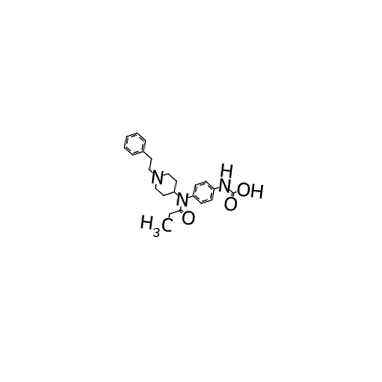 CCC(=O)N(c1ccc(NC(=O)O)cc1)C1CCN(CCc2ccccc2)CC1